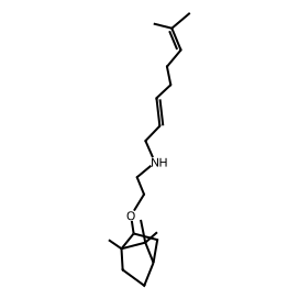 CC(C)=CCC/C=C/CNCCOC1CC2CCC1(C)C2(C)C